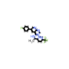 CC(Nc1ncnc2ncc(-c3ccc(F)cc3)cc12)c1ccc(C(F)(F)F)nn1